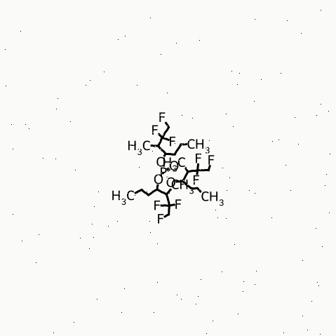 CCCC(OP(=O)(OC(CCC)C(C)C(F)(F)CF)OC(CCC)C(C)C(F)(F)CF)C(C)C(F)(F)CF